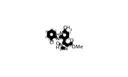 COC(=O)c1ncn(C)c1-c1ccc(C)nc1Nc1ccccc1Cl